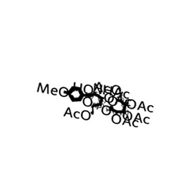 COc1ccc([C@]2(O)O[C@H](COC(C)=O)[C@@H](O[C@@H]3O[C@H](COC(C)=O)[C@H](OC(C)=O)[C@H](OC(C)=O)[C@H]3OC(C)=O)[C@H](OC(C)=O)[C@@H]2NC(C)=O)cc1